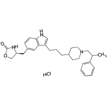 CC(CN1CCC(CCCc2c[nH]c3ccc(C[C@H]4COC(=O)N4)cc23)CC1)c1ccccc1.Cl